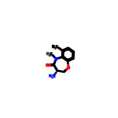 Cc1cccc2c1N(C)C(=O)[C@@H](N)CO2